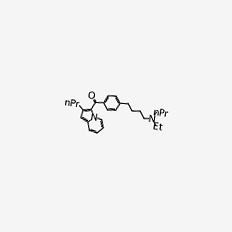 CCCc1cc2ccccn2c1C(=O)c1ccc(CCCCN(CC)CCC)cc1